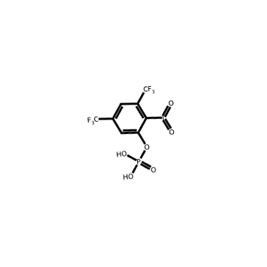 O=I(=O)c1c(OP(=O)(O)O)cc(C(F)(F)F)cc1C(F)(F)F